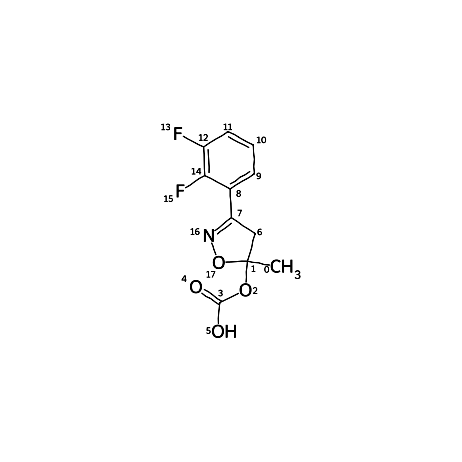 CC1(OC(=O)O)CC(c2cccc(F)c2F)=NO1